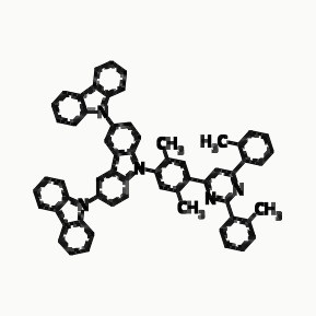 Cc1ccccc1-c1cc(-c2cc(C)c(-n3c4ccc(-n5c6ccccc6c6ccccc65)cc4c4cc(-n5c6ccccc6c6ccccc65)ccc43)cc2C)nc(-c2ccccc2C)n1